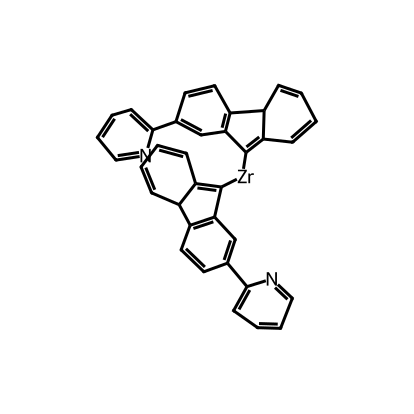 C1=CC2=[C]([Zr][C]3=C4C=CC=CC4c4ccc(-c5ccccn5)cc43)c3cc(-c4ccccn4)ccc3C2C=C1